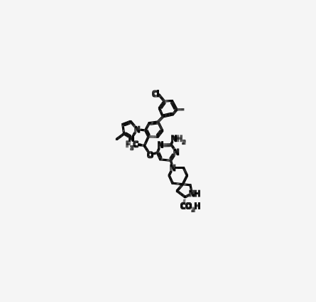 Cc1cc(Cl)cc(-c2ccc([C@@H](Oc3cc(N4CCC5(CC4)CN[C@H](C(=O)O)C5)nc(N)n3)C(F)(F)F)c(-n3ccc(C)n3)c2)c1